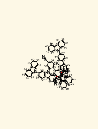 N#Cc1cc(-c2c(-n3c4cc(-n5c6ccccc6c6ccccc65)ccc4c4ccc(-n5c6ccccc6c6ccccc65)cc43)cc(C#N)cc2-n2c3cc(-n4c5ccccc5c5ccccc54)ccc3c3ccc(-n4c5ccccc5c5ccccc54)cc32)cc(C(F)(F)F)c1